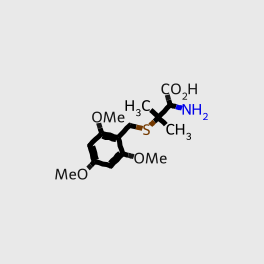 COc1cc(OC)c(CSC(C)(C)C(N)C(=O)O)c(OC)c1